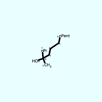 CCCCCCCCC(C)(O)CCC